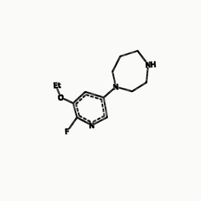 CCOc1cc(N2CCCNCC2)cnc1F